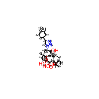 C=C1C(=O)[C@]23[C@H](O)[C@H]1CC[C@H]2[C@@]12CO[C@]3(O)[C@@H](O)[C@@H]1C(C)(C)C[C@H](n1cc(-c3ccc(C(C)(C)C)cc3)nn1)[C@H]2O